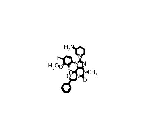 COc1c(F)ccc(-n2c(N3CCCC(N)C3)nc3c2c(=O)n(CC(=O)c2ccccc2)c(=O)n3C)c1F